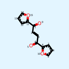 O=C(/C=C/C(=O)c1ccco1)c1ccco1